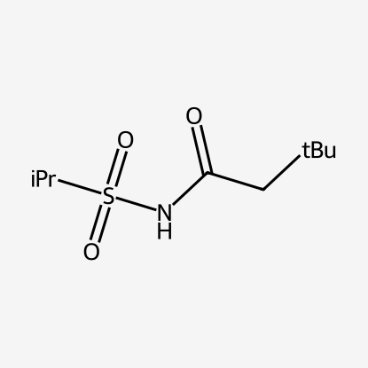 CC(C)S(=O)(=O)NC(=O)CC(C)(C)C